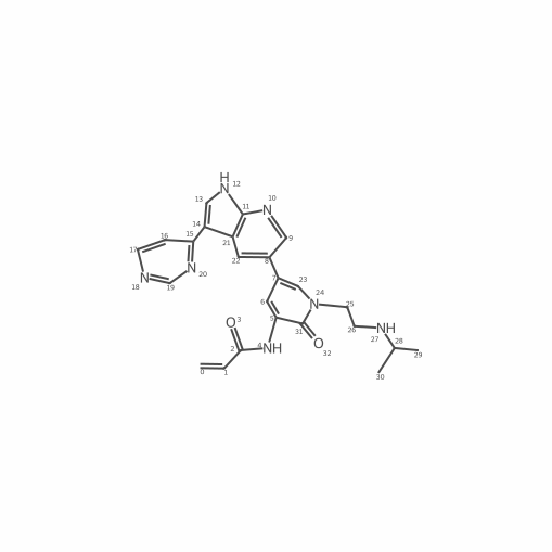 C=CC(=O)Nc1cc(-c2cnc3[nH]cc(-c4ccncn4)c3c2)cn(CCNC(C)C)c1=O